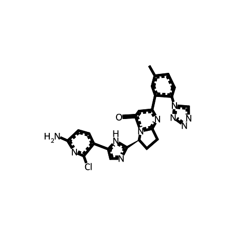 Cc1ccc(-n2cnnn2)c(-c2cc(=O)n3c(n2)CC[C@H]3c2ncc(-c3ccc(N)nc3Cl)[nH]2)c1